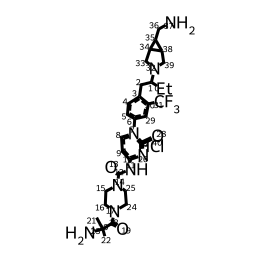 CCC(Cc1ccc(-n2ccc(NC(=O)N3CCN(C(=O)C(C)(C)N)CC3)nc2=O)cc1C(F)(F)F)N1CC2C(CN)C2C1.Cl